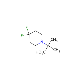 CC(C)(C(=O)O)N1CCC(F)(F)CC1